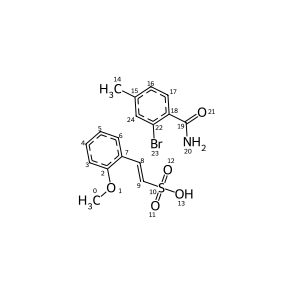 COc1ccccc1/C=C/S(=O)(=O)O.Cc1ccc(C(N)=O)c(Br)c1